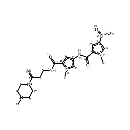 CN1CCN(C(=N)CCNC(=O)c2cc(NC(=O)c3cc([N+](=O)[O-])cn3C)cn2C)CC1